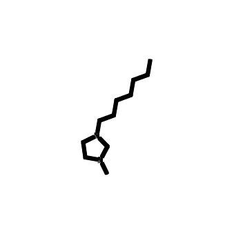 CCCCCCCN1CCN(C)C1